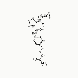 NC(=O)OCCc1ccc(NC(=O)[C@@H]2CCCN2C(=O)NC2CC2)cc1